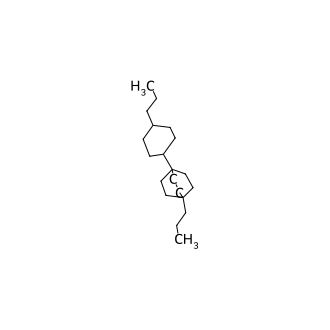 CCCC1CCC(C23CCC(CCC)(CC2)CC3)CC1